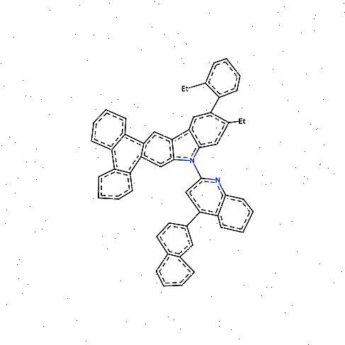 CCc1ccccc1-c1cc2c3cc4c5ccccc5c5ccccc5c4cc3n(-c3cc(-c4ccc5ccccc5c4)c4ccccc4n3)c2cc1CC